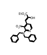 CCOC(=O)C(O)=Cc1ccnc(N(Cc2ccccc2)Cc2ccccc2)c1[N+](=O)[O-]